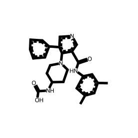 Cc1cc(C)cc(NC(=O)c2cncc(-c3ccccc3)c2N2CCC(NC(=O)O)CC2)c1